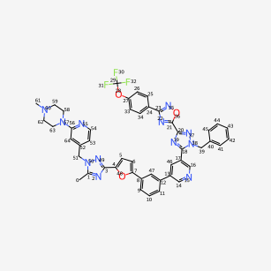 Cc1nc(-c2ccc(-c3cccc(-c4cncc(-c5nc(-c6nc(-c7ccc(OC(F)(F)F)cc7)no6)nn5Cc5ccccc5)c4)c3)o2)nn1Cc1ccnc(N2CCN(C)CC2)c1